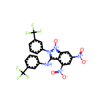 O=[N+]([O-])c1cc([N+](=O)[O-])c2c(Nc3cccc(C(F)(F)F)c3)n(-c3cccc(C(F)(F)F)c3)[n+]([O-])c2c1